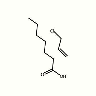 C=CCCl.CCCCCCC(=O)O